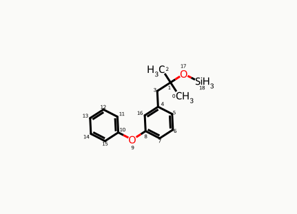 CC(C)(Cc1cccc(Oc2ccccc2)c1)O[SiH3]